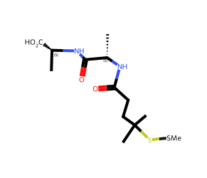 CSSC(C)(C)CCC(=O)N[C@@H](C)C(=O)N[C@@H](C)C(=O)O